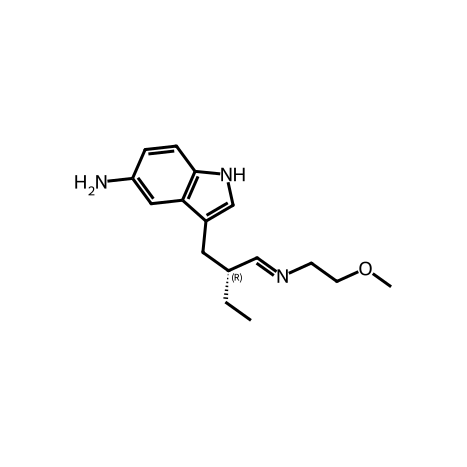 CC[C@@H](C=NCCOC)Cc1c[nH]c2ccc(N)cc12